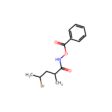 CC(Br)CC(C)C(=O)NOC(=O)c1ccccc1